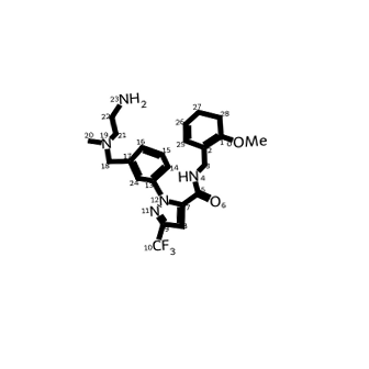 COC1=C(CNC(=O)c2cc(C(F)(F)F)nn2-c2cccc(CN(C)CCN)c2)C=CCC1